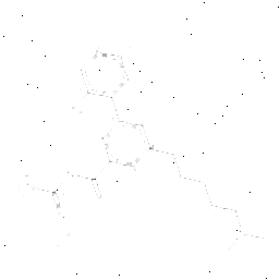 CN(C)CCCCCc1cc(C(=O)NC(=N)N)cc(-c2cc(Cl)ccc2Cl)c1.Cl.Cl